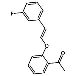 CC(=O)c1ccccc1OC=Cc1cccc(F)c1